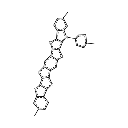 Cc1ccc(-n2c3cc(C)ccc3c3oc4c5cc6sc7c(oc8c9ccc(C)cc9sc87)c6cc5sc4c32)cc1